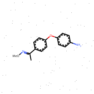 CO/N=C(\C)c1ccc(Oc2ccc(N)cc2)cc1